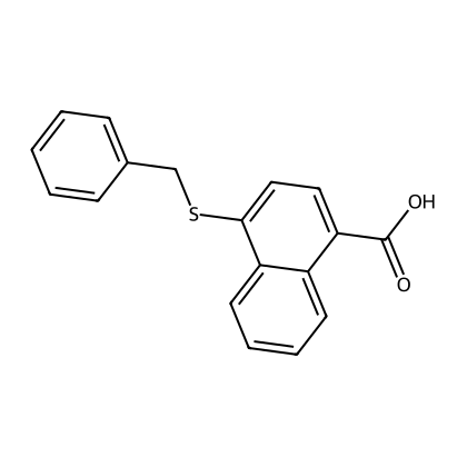 O=C(O)c1ccc(SCc2ccccc2)c2ccccc12